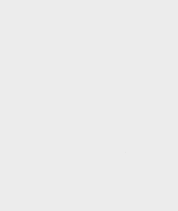 CC(=O)c1cc(C)cc2c(=O)cc(-c3ccccc3)oc12